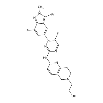 CC(C)c1c2cc(-c3nc(Nc4ccc5c(n4)CCN(CCO)C5)ncc3F)cc(F)c2nn1C